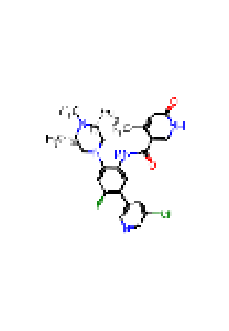 C[C@@H]1CN(c2cc(F)c(-c3cncc(Cl)c3)cc2NC(=O)c2c[nH]c(=O)cc2C(F)(F)F)C[C@H](C)N1C